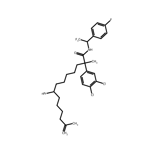 C=C(C)CCCCC(CCC)CCCCCC(C)(C(=O)NC(c1ccc(F)cc1)C(F)(F)F)c1ccc(Cl)c(Cl)c1